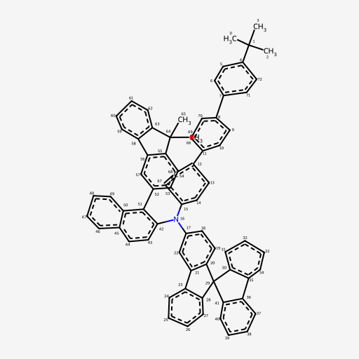 CC(C)(C)c1ccc(-c2ccc(-c3ccc(N(c4ccc5c(c4)-c4ccccc4C54c5ccccc5-c5ccccc54)c4ccc5ccccc5c4-c4ccc5c(c4)-c4ccccc4C5(C)C)cc3)cc2)cc1